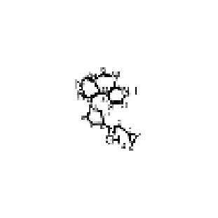 CN(CC1CC1)C1CCN(c2nncc3cnc4[nH]ccc4c23)C1